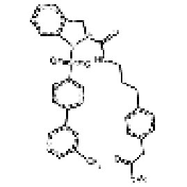 COC(=O)Cc1ccc(CCCNC(=O)[C@@H]2Cc3ccccc3N2S(=O)(=O)c2ccc(-c3cccc(C(F)(F)F)c3)cc2)cc1